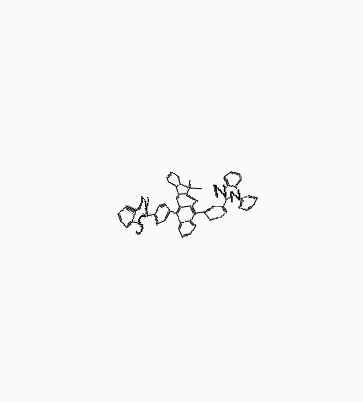 CC1(C)c2ccccc2-c2cc3c(-c4ccc(-c5nc6ccccc6s5)cc4)c4ccccc4c(-c4cccc(-c5nc6ccccc6n5-c5ccccc5)c4)c3cc21